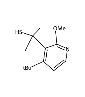 COc1nccc(C(C)(C)C)c1C(C)(C)S